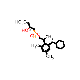 Cc1cc(C)c(C(C)CO[PH](=O)C[C@@H](O)CC(=O)O)c(CC2CCCCC2)c1